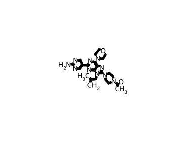 CC(=O)N1CCN(c2nc3c(N4CCOCC4)nc(-c4cnc(N)nc4)nc3n2CC(C)C)CC1